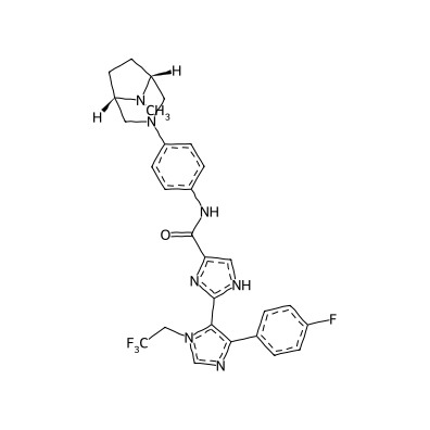 CN1[C@@H]2CC[C@H]1CN(c1ccc(NC(=O)c3c[nH]c(-c4c(-c5ccc(F)cc5)ncn4CC(F)(F)F)n3)cc1)C2